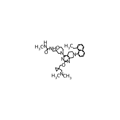 CCc1cccc2cccc(N3CCc4c(nc(OCC5(CN(C)C)CC5)nc4N4CCOC(CNC(=O)NC)C4)C3)c12